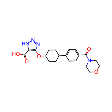 O=C(O)c1[nH]nnc1O[C@H]1CC[C@H](c2ccc(C(=O)N3CCOCC3)cc2)CC1